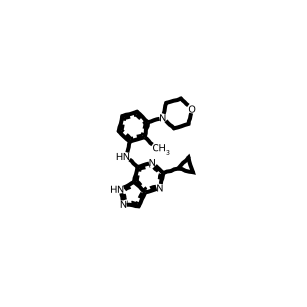 Cc1c(Nc2nc(C3CC3)nc3cn[nH]c23)cccc1N1CCOCC1